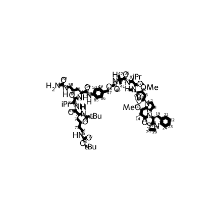 CC[C@H](C)[C@@H]([C@@H](CC(=O)N1CCC[C@H]1[C@H](OC)[C@@H](C)C(=O)N[C@@H](Cc1ccccc1)c1nccs1)OC)N(C)C(=O)[C@@H](NC(=O)C(C)(C)NC(=O)OCc1ccc(NC(=O)[C@H](CCCNC(N)=O)NC(=O)[C@@H](NC(=O)[C@H](CCCCNC(=O)OC(C)(C)C)NC(=O)C(C)(C)C)C(C)C)cc1)C(C)C